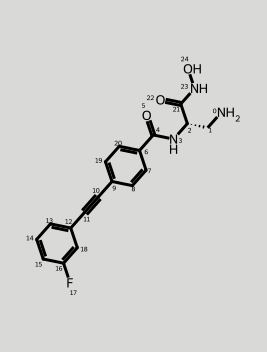 NC[C@H](NC(=O)c1ccc(C#Cc2cccc(F)c2)cc1)C(=O)NO